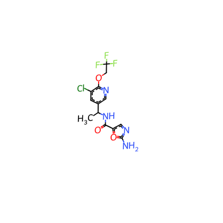 CC(NC(=O)c1cnc(N)o1)c1cnc(OCC(F)(F)F)c(Cl)c1